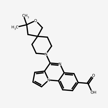 CC1(C)CC2(CCN(c3nc4cc(C(=O)O)ccc4n4cccc34)CC2)CO1